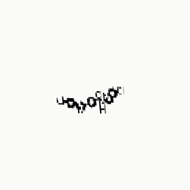 O=C(Nc1ccc2cc(Cl)ccc2n1)[C@H]1CC[C@@H](c2cnn(-c3ccc(Cl)cc3)c2)CC1